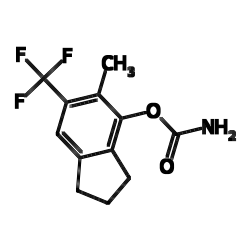 Cc1c(C(F)(F)F)cc2c(c1OC(N)=O)CCC2